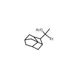 CCC(C)(OC(C)=O)C1C2CC3CC(C2)CC1C3